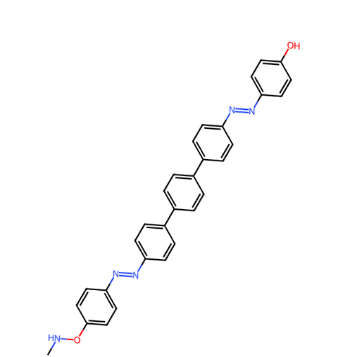 CNOc1ccc(/N=N/c2ccc(-c3ccc(-c4ccc(/N=N/c5ccc(O)cc5)cc4)cc3)cc2)cc1